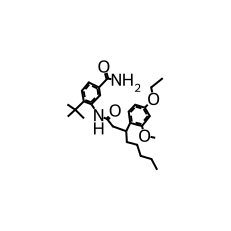 CCCCCC(CC(=O)Nc1cc(C(N)=O)ccc1C(C)(C)C)c1ccc(OCC)cc1OC